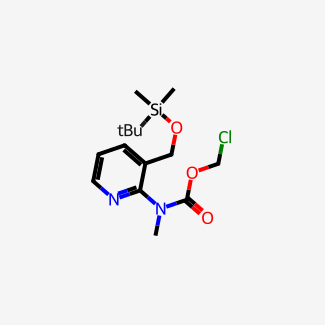 CN(C(=O)OCCl)c1ncccc1CO[Si](C)(C)C(C)(C)C